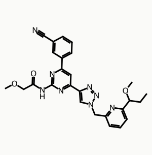 CCC(OC)c1cccc(Cn2cc(-c3cc(-c4cccc(C#N)c4)nc(NC(=O)COC)n3)nn2)n1